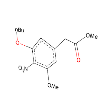 CCCCOc1cc(CC(=O)OC)cc(OC)c1[N+](=O)[O-]